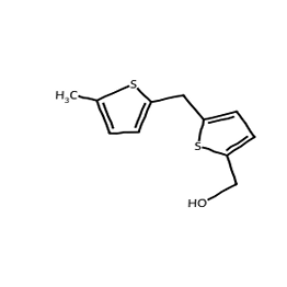 Cc1ccc(Cc2ccc(CO)s2)s1